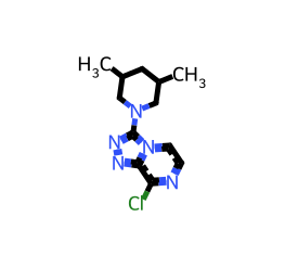 CC1CC(C)CN(c2nnc3c(Cl)nccn23)C1